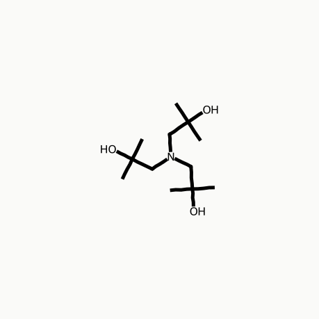 CC(C)(O)CN(CC(C)(C)O)CC(C)(C)O